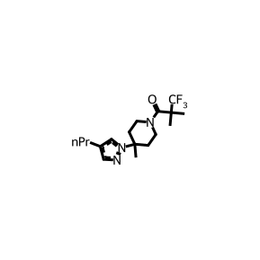 CCCc1cnn(C2(C)CCN(C(=O)C(C)(C)C(F)(F)F)CC2)c1